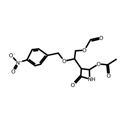 CC(=O)OC1NC(=O)C1C(COC=O)OCc1ccc([N+](=O)[O-])cc1